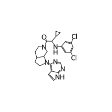 O=C(C(Nc1cc(Cl)cc(Cl)c1)C1CC1)N1CCC2CCN(c3ncnc4[nH]ccc34)C2C1